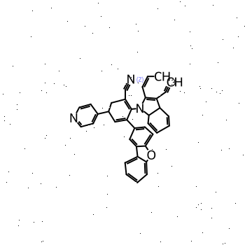 C#CC1=C(/C=C\C)N(C2=C(C#N)CC(c3ccncc3)C=C2c2ccc3oc4ccccc4c3c2)C2C=CC=CC12